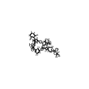 Cc1cccc(C)c1-c1cc2nc(n1)NS(=O)(=O)c1cccc(c1)CN(C1CC3(CCN(C(=O)OC(C)(C)C)CC3)C1)C(CC1(C(F)(F)F)CC1)CO2